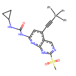 CC(C)[Si](C#Cc1cc(NC(=O)NC2CC2)nc2nc(S(C)(=O)=O)ncc12)(C(C)C)C(C)C